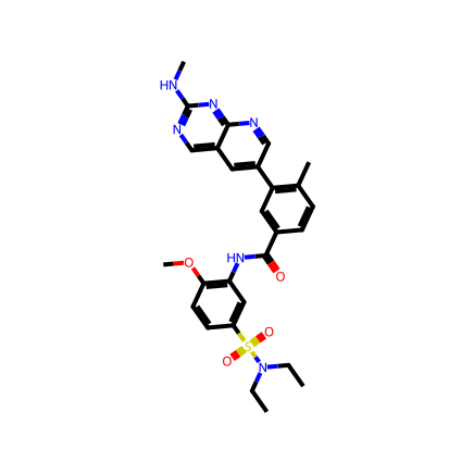 CCN(CC)S(=O)(=O)c1ccc(OC)c(NC(=O)c2ccc(C)c(-c3cnc4nc(NC)ncc4c3)c2)c1